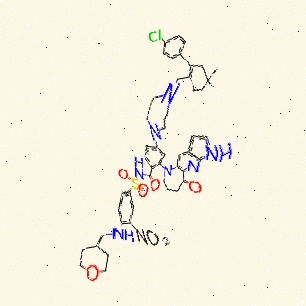 CC1(C)CCC(CN2CCN(c3ccc(C(=O)NS(=O)(=O)c4ccc(NCC5CCOCC5)c([N+](=O)[O-])c4)c(N4CCCC(=O)c5nc6[nH]ccc6cc54)c3)CC2)=C(c2ccc(Cl)cc2)C1